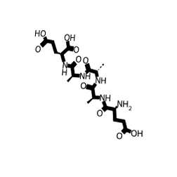 C[C@H](NC(=O)[C@H](C)NC(=O)[C@@H](N)CCC(=O)O)C(=O)N[C@@H](C)C(=O)N[C@@H](CCC(=O)O)C(=O)O